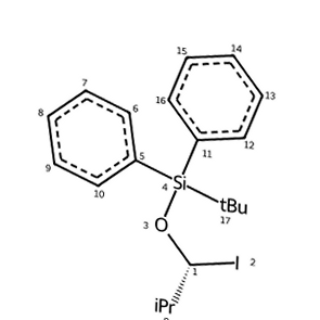 CC(C)[C@@H](I)O[Si](c1ccccc1)(c1ccccc1)C(C)(C)C